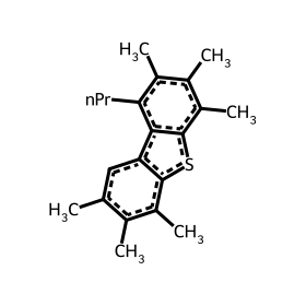 CCCc1c(C)c(C)c(C)c2sc3c(C)c(C)c(C)cc3c12